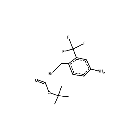 CC(C)(C)OC=O.Nc1ccc(CBr)c(C(F)(F)F)c1